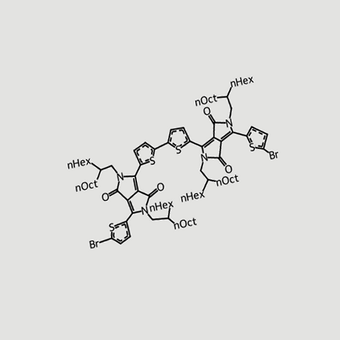 CCCCCCCCC(CCCCCC)CN1C(=O)C2=C(c3ccc(-c4ccc(C5=C6C(=O)N(CC(CCCCCC)CCCCCCCC)C(c7ccc(Br)s7)=C6C(=O)N5CC(CCCCCC)CCCCCCCC)s4)s3)N(CC(CCCCCC)CCCCCCCC)C(=O)C2=C1c1ccc(Br)s1